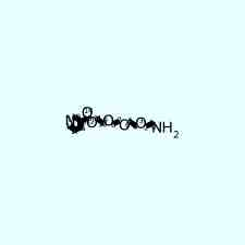 NCCOCCOCCOCCOC(=O)c1cccnc1